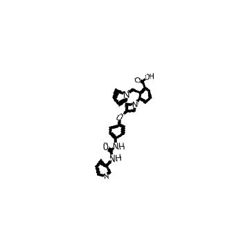 O=C(Nc1ccc(OC2CN(c3cccc(C(=O)O)c3Cn3cccc3)C2)cc1)Nc1cccnc1